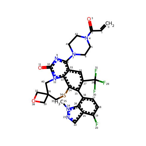 C=CC(=O)N1CCN(c2nc(=O)n3c4c(c(-c5ccc(F)c6cnn(C)c56)c(C(F)(F)F)cc24)SCC2(COC2)C3)CC1